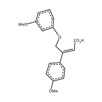 COc1ccc(C(=CC(=O)O)COc2cccc(OC)c2)cc1